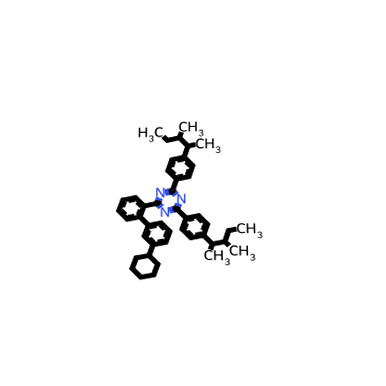 CCC(C)C(C)c1ccc(-c2nc(-c3ccc(C(C)C(C)CC)cc3)nc(-c3ccccc3-c3cccc(C4CCCCC4)c3)n2)cc1